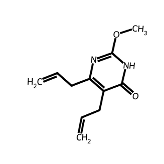 C=CCc1nc(OC)[nH]c(=O)c1CC=C